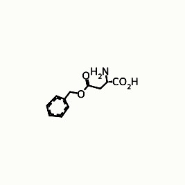 N[C@H](CC(=O)OCc1ccccc1)C(=O)O